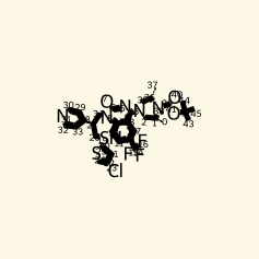 C[C@@H]1CN(c2nc(=O)n3c4c(cc(C(F)(F)F)cc24)[SH](c2cc(Cl)cs2)C[C@@H](c2ccncc2)C3)C[C@H](C)N1C(=O)OC(C)(C)C